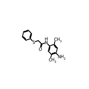 Cc1cc(NC(=O)CSc2ccccc2)c(C)cc1N